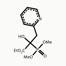 CCOC(=O)C(O)(Cc1ccccn1)P(=O)(OC)OC